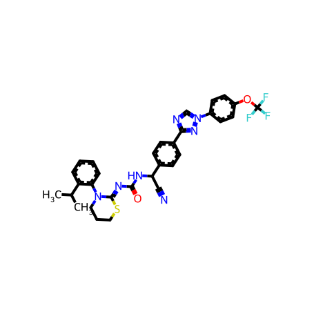 CC(C)c1ccccc1N1CCCS/C1=N\C(=O)NC(C#N)c1ccc(-c2ncn(-c3ccc(OC(F)(F)F)cc3)n2)cc1